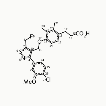 COc1cc(-c2nsc(CF)c2COc2ccc(CCC(=O)O)c(C)c2C)ccc1Cl